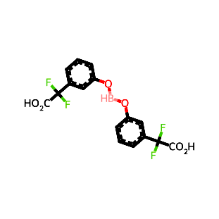 O=C(O)C(F)(F)c1cccc(OBOc2cccc(C(F)(F)C(=O)O)c2)c1